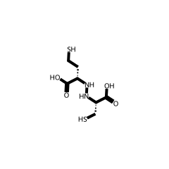 O=C(O)[C@H](CS)NN[C@@H](CCS)C(=O)O